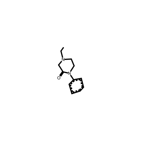 CCN1CCN(c2ccccc2)C(=O)C1